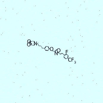 O=S1(=O)CCN(CCCCc2ccc(OCc3coc(/C=C/c4ccc(C(F)(F)F)cc4F)n3)cc2)CC1